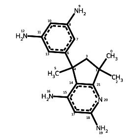 CC1(C)CC(C)(c2cc(N)cc(N)c2)c2c(N)cc(N)nc21